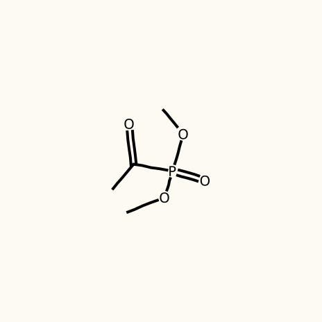 COP(=O)(OC)C(C)=O